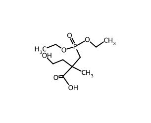 CCOP(=O)(CC(C)(CCO)C(=O)O)OCC